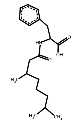 CC(C)CCCC(C)CC(=O)NC(Cc1ccccc1)C(=O)O